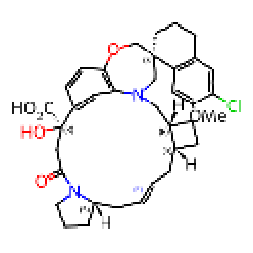 COc1cc2c(cc1Cl)CCC[C@]21COc2ccc3cc2N(C[C@@H]2CC[C@@H]2C/C=C/C[C@@H]2CCCN2C(=O)C[C@]3(O)C(=O)O)C1